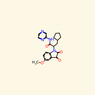 COc1ccc2c(c1)C(=O)C(=O)N2C(CC1CCCC1)C(=O)Nc1cnccn1